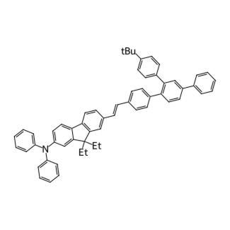 CCC1(CC)c2cc(/C=C/c3ccc(-c4ccc(-c5ccccc5)cc4-c4ccc(C(C)(C)C)cc4)cc3)ccc2-c2ccc(N(c3ccccc3)c3ccccc3)cc21